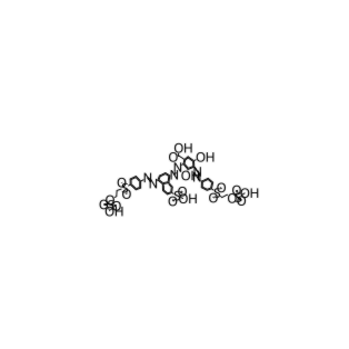 O=C(O)c1cc(O)c(N=Nc2ccc(S(=O)(=O)CCOS(=O)(=O)O)cc2)c(O)c1N=Nc1ccc(N=Nc2ccc(S(=O)(=O)CCOS(=O)(=O)O)cc2)c2ccc(S(=O)(=O)O)cc12